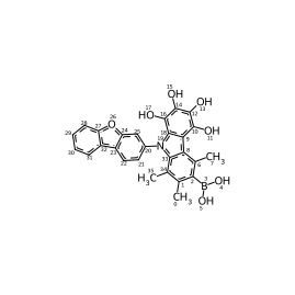 Cc1c(B(O)O)c(C)c2c3c(O)c(O)c(O)c(O)c3n(-c3ccc4c(c3)oc3ccccc34)c2c1C